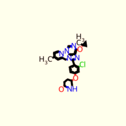 Cc1ccnc(Cn2c(-c3ccc(OC4CCC(=O)NC4)cc3Cl)nc3c(OC4(C)CC4)ncnc32)c1